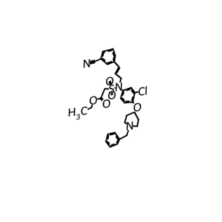 CCOC(=O)CS(=O)(=O)N(C/C=C/c1cccc(C#N)c1)c1ccc(OC2CCN(Cc3ccccc3)CC2)c(Cl)c1